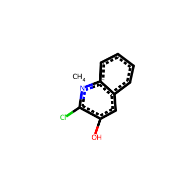 C.Oc1cc2ccccc2nc1Cl